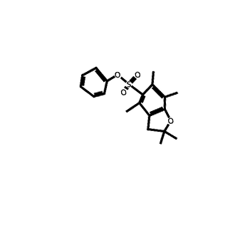 Cc1c(C)c(S(=O)(=O)Oc2ccccc2)c(C)c2c1OC(C)(C)C2